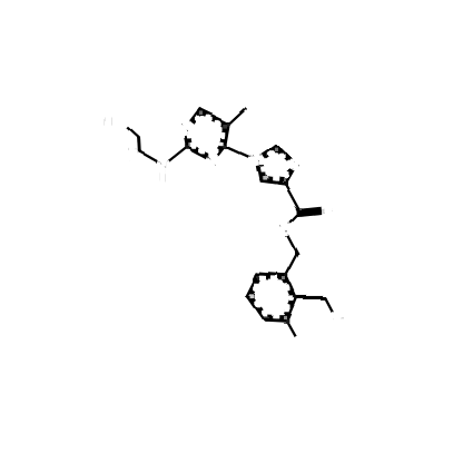 CC[C@H](CO)Nc1ncc(C)c(-n2cnc(C(=O)NCc3cccc(Cl)c3CO)c2)n1